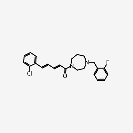 O=C(/C=C/C=C/c1ccccc1Cl)N1CCCN(Cc2ccccc2F)CC1